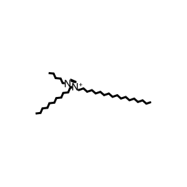 CCCCCCCCCCCCCCCCCC[n+]1ccn(CCCCC)c1CCCCCCCCCC